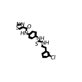 O=C(Nc1ccc(NC(=S)NCCc2cccc(Cl)c2)cc1)c1csnn1